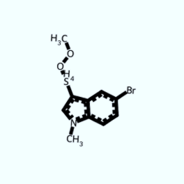 COO[SH4]c1cn(C)c2ccc(Br)cc12